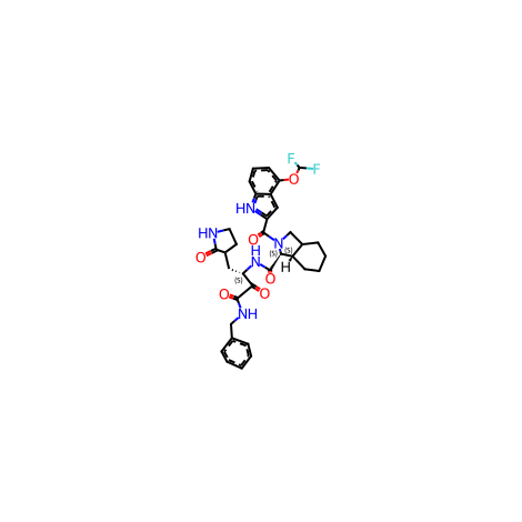 O=C(NCc1ccccc1)C(=O)[C@H](CC1CCNC1=O)NC(=O)[C@@H]1[C@H]2CCCCC2CN1C(=O)c1cc2c(OC(F)F)cccc2[nH]1